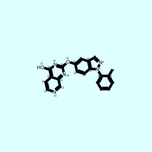 Cc1ccccc1-n1ncc2cc(Oc3nc(O)c4ccncc4n3)ccc21